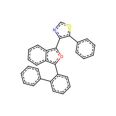 c1ccc(-c2ccccc2-c2oc(-c3ncsc3-c3ccccc3)c3ccccc23)cc1